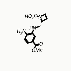 COC(=O)c1ccc(N)c(NC[C@H]2CCN2C(=O)O)c1